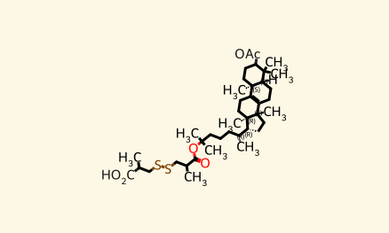 CC(=O)OC1CC[C@]2(C)C3=C(CC[C@H]2C1(C)C)[C@]1(C)CC[C@H]([C@H](C)CCCC(C)(C)OC(=O)C(C)CSSCC(C)C(=O)O)[C@@]1(C)CC3